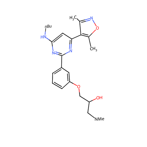 CCCCNc1cc(-c2c(C)noc2C)nc(-c2cccc(OCC(O)CNC)c2)n1